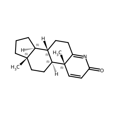 C[C@@]12CCC[C@H]1[C@@H]1CCC3=NC(=O)C=C[C@]3(C)[C@H]1CC2